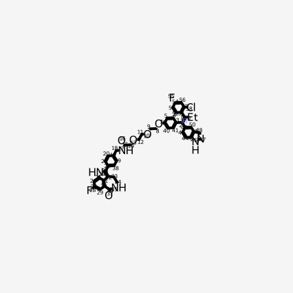 CC/C(=C(/c1ccc(OCCOCCOCC(=O)NCc2ccc(-c3[nH]c4cc(F)cc5c4c3CCNC5=O)cc2)cc1)c1ccc2[nH]ncc2c1)c1ccc(F)cc1Cl